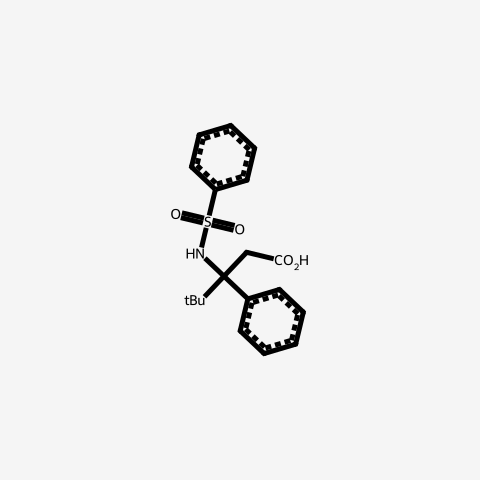 CC(C)(C)C(CC(=O)O)(NS(=O)(=O)c1ccccc1)c1ccccc1